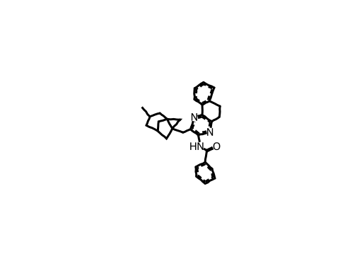 CC1CC2CC3(Cc4nc5c(nc4NC(=O)c4ccccc4)CCc4ccccc4-5)CC3(C1)C2